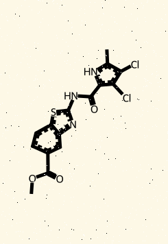 COC(=O)c1ccc2sc(NC(=O)c3[nH]c(C)c(Cl)c3Cl)nc2c1